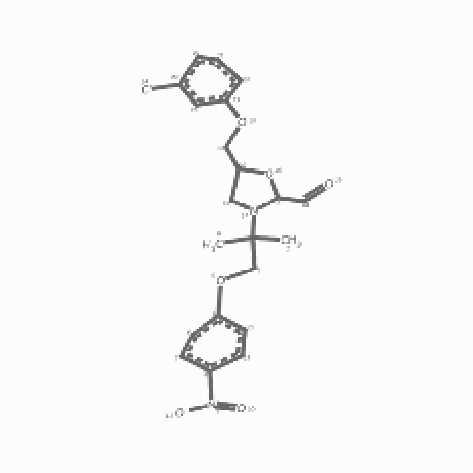 CC(C)(COc1ccc([N+](=O)[O-])cc1)N1CC(COc2cccc(Cl)c2)OC1C=O